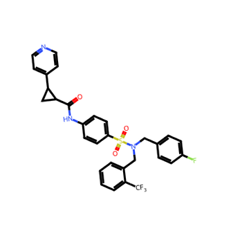 O=C(Nc1ccc(S(=O)(=O)N(Cc2ccc(F)cc2)Cc2ccccc2C(F)(F)F)cc1)C1CC1c1ccncc1